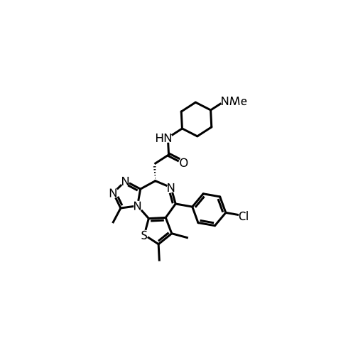 CNC1CCC(NC(=O)C[C@@H]2N=C(c3ccc(Cl)cc3)c3c(sc(C)c3C)-n3c(C)nnc32)CC1